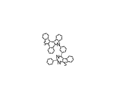 c1ccc(-c2nc(-c3cccc(-n4c5ccccc5c5c6c7ccccc7sc6c6ccccc6c54)c3)c3c(n2)sc2ccccc23)cc1